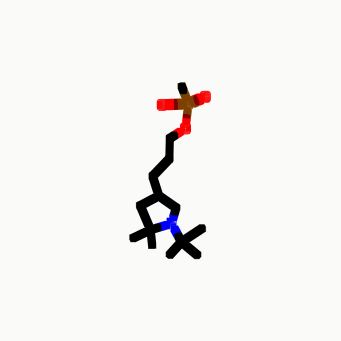 CC(C)(C)N1CC(CCCOS(C)(=O)=O)CC1(C)C